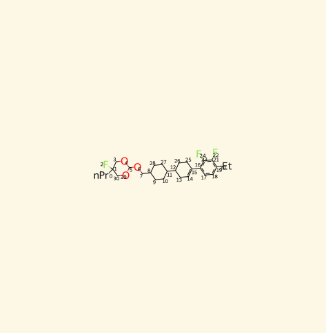 CCCC1(F)COC(OCC2CCC(C3CC=C(c4ccc(CC)c(F)c4F)CC3)CC2)OC1